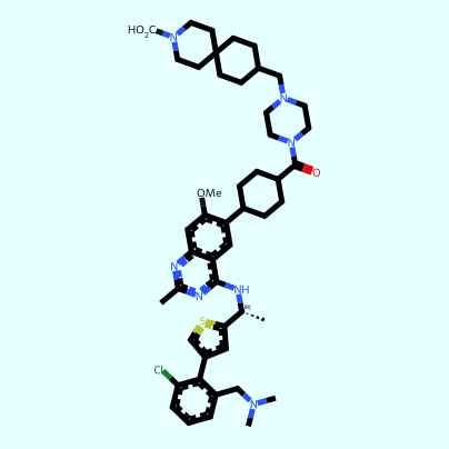 COc1cc2nc(C)nc(N[C@H](C)c3cc(-c4c(Cl)cccc4CN(C)C)cs3)c2cc1C1CCC(C(=O)N2CCN(CC3CCC4(CC3)CCN(C(=O)O)CC4)CC2)CC1